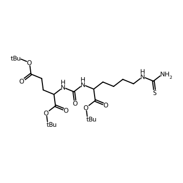 CC(C)(C)OC(=O)CCC(NC(=O)NC(CCCCNC(N)=S)C(=O)OC(C)(C)C)C(=O)OC(C)(C)C